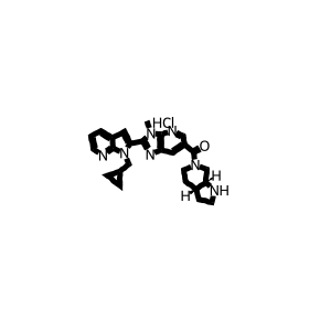 Cl.Cn1c(-c2cc3cccnc3n2CC2CC2)nc2cc(C(=O)N3CC[C@H]4CCN[C@@H]4C3)cnc21